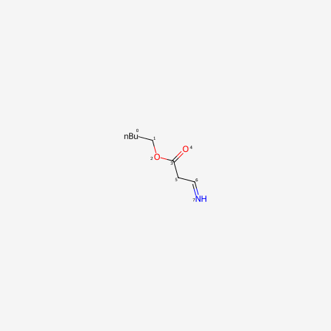 CCCCCOC(=O)CC=N